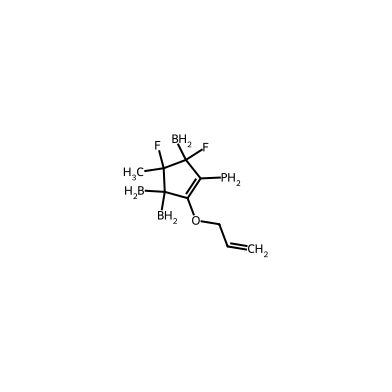 BC1(B)C(OCC=C)=C(P)C(B)(F)C1(C)F